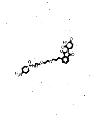 NC1CCN([S+]([O-])NCCOCCOCCCc2cccc3c2C(=O)N(C2CCC(=O)NC2=O)C3=O)CC1